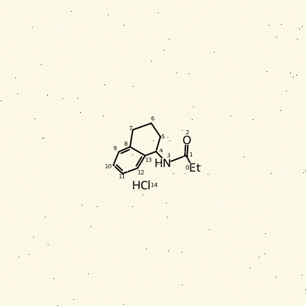 CCC(=O)NC1CCCc2ccccc21.Cl